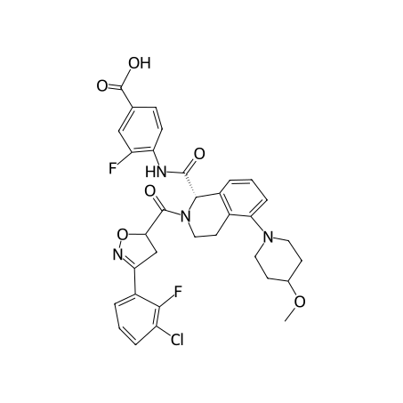 COC1CCN(c2cccc3c2CCN(C(=O)C2CC(c4cccc(Cl)c4F)=NO2)[C@@H]3C(=O)Nc2ccc(C(=O)O)cc2F)CC1